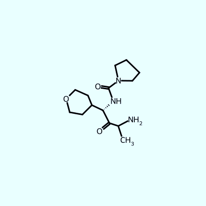 CC(N)C(=O)[C@@H](NC(=O)N1CCCC1)C1CCOCC1